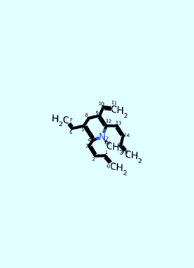 C=C/C=C\C1=C(C=C)CC(C=C)=C(/C=C\C=C)N1C